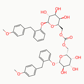 COc1ccc(Cc2ccccc2O[C@@H]2O[C@H](COC(=O)OC[C@H]3O[C@@H](Oc4ccccc4Cc4ccc(OC)cc4)[C@H](O)[C@@H](O)[C@H]3O)[C@H](O)[C@H](O)[C@H]2O)cc1